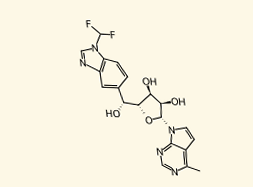 Cc1ncnc2c1ccn2[C@@H]1O[C@H]([C@H](O)c2ccc3c(c2)ncn3C(F)F)[C@@H](O)[C@H]1O